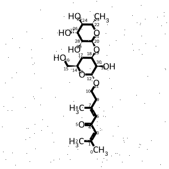 CC(C)=CC(=O)/C=C(\C)CCO[C@@H]1O[C@@H](CO)[CH][C@@H](O[C@@H]2O[C@@H](C)[C@H](O)[C@@H](O)[C@H]2O)[C@H]1O